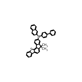 CC1(C)c2cc(N(c3ccc(-c4ccccc4)cc3)c3ccc4ccccc4c3)ccc2-c2c1ccc1c2sc2ccccc21